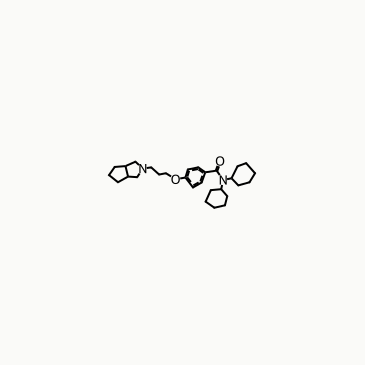 O=C(c1ccc(OCCCN2CC3CCCC3C2)cc1)N(C1CCCCC1)C1CCCCC1